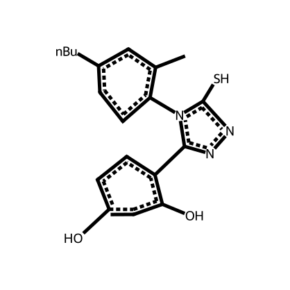 CCCCc1ccc(-n2c(S)nnc2-c2ccc(O)cc2O)c(C)c1